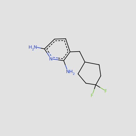 Nc1ccc(CC2CCC(F)(F)CC2)c(N)n1